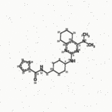 CN(C)c1nc(NC2CCC(CNC(=O)c3cccs3)CC2)nc2c1CCCC2